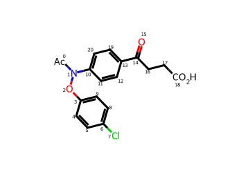 CC(=O)N(Oc1ccc(Cl)cc1)c1ccc(C(=O)CCC(=O)O)cc1